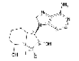 Nc1ncnc2c1ncn2[C@@H]1C2CCCC(O)[C@@H]2[C@@H](O)[C@H]1O